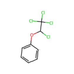 ClC(Oc1[c]cccc1)C(Cl)(Cl)Cl